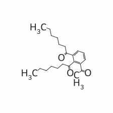 CCCCCCC(=O)c1cccc(C(C)=O)c1C(=O)CCCCCC